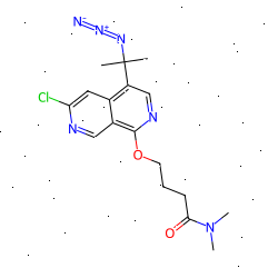 CN(C)C(=O)CCCOc1ncc(C(C)(C)N=[N+]=[N-])c2cc(Cl)ncc12